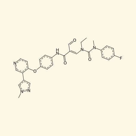 CCN(/C=C(\C=O)C(=O)Nc1ccc(Oc2ccncc2-c2cnn(C)c2)cc1)C(=O)N(C)c1ccc(F)cc1